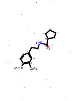 COc1ccc(CCNC(=O)C2CCCC2)cc1OC